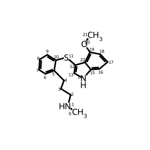 CNCCCc1ccccc1Sc1c[nH]c2cccc(OC)c12